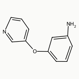 Nc1cccc(Oc2cccnc2)c1